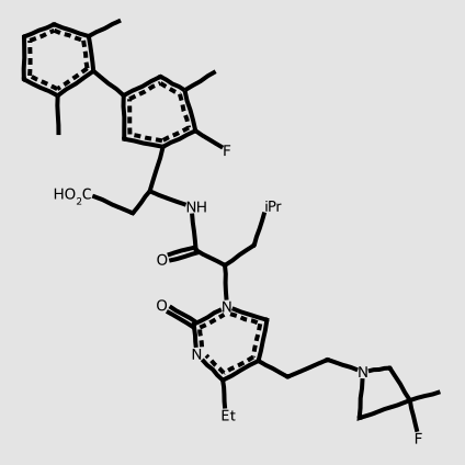 CCc1nc(=O)n(C(CC(C)C)C(=O)NC(CC(=O)O)c2cc(-c3c(C)cccc3C)cc(C)c2F)cc1CCN1CC(C)(F)C1